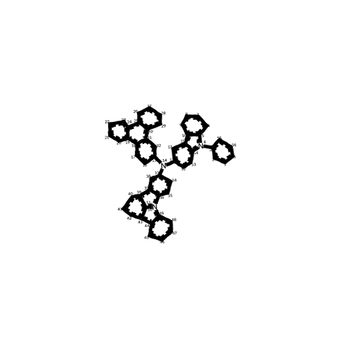 c1ccc(-n2c3ccccc3c3cc(N(c4ccc5c6ccccc6c6ccccc6c5c4)c4ccc5c(c4)c4cccc6c7ccccc7n5c64)ccc32)cc1